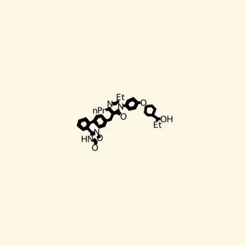 CCCc1nc(CC)n(-c2ccc(OC3CCC(C(O)CC)CC3)cc2)c(=O)c1Cc1ccc(-c2ccccc2-c2noc(=O)[nH]2)cc1